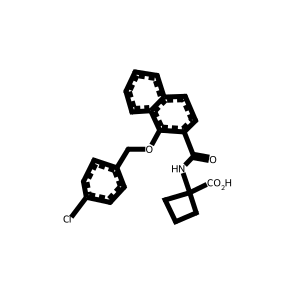 O=C(NC1(C(=O)O)CCC1)c1ccc2ccccc2c1OCc1ccc(Cl)cc1